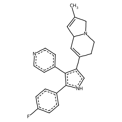 CC1=CC2C=C(c3c[nH]c(-c4ccc(F)cc4)c3-c3ccncc3)CCN2C1